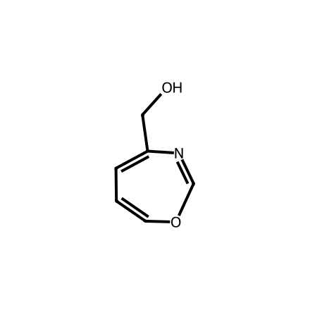 OCC1=CC=COC=N1